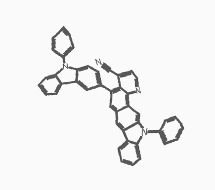 N#Cc1ccnc2c1c(-c1ccc3c(c1)c1ccccc1n3-c1ccccc1)cc1cc3c4ccccc4n(-c4ccccc4)c3cc12